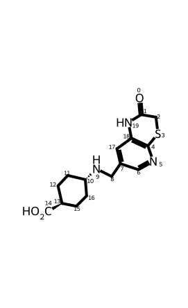 O=C1CSc2ncc(CN[C@H]3CC[C@H](C(=O)O)CC3)cc2N1